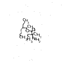 CCCCC(CCC)C(C)OC(=O)C(C)(C)N